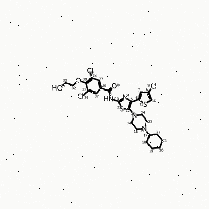 O=C(Nc1nc(-c2cc(Cl)cs2)c(N2CCN(C3CCCCC3)CC2)s1)c1cc(Cl)c(OCCO)c(Cl)c1